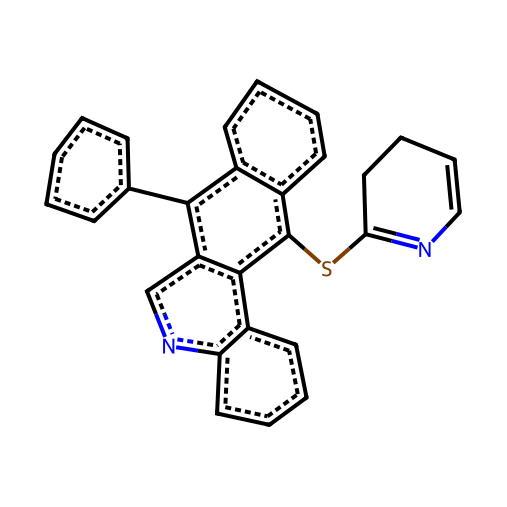 C1=CN=C(Sc2c3ccccc3c(-c3ccccc3)c3cnc4ccccc4c23)CC1